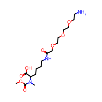 COC(=O)N(C)C(CCCCNC(=O)COCCOCCOCCN)C(=O)O